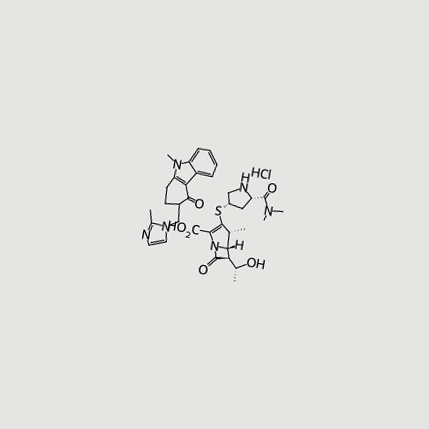 C[C@@H](O)[C@H]1C(=O)N2C(C(=O)O)=C(S[C@@H]3CN[C@H](C(=O)N(C)C)C3)[C@H](C)[C@H]12.Cc1nccn1CC1CCc2c(c3ccccc3n2C)C1=O.Cl